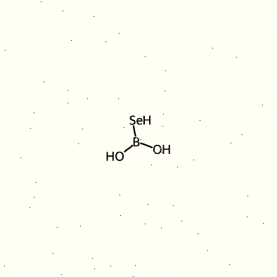 OB(O)[SeH]